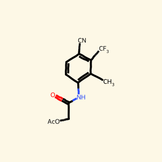 CC(=O)OCC(=O)Nc1ccc(C#N)c(C(F)(F)F)c1C